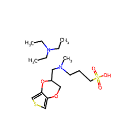 CCN(CC)CC.CN(CCCS(=O)(=O)O)CC1COc2cscc2O1